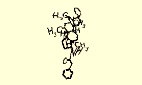 CC1CC2N(C)C(=O)CC[C@]2(C)[C@@H]2CC[C@]3(C)C(NC(=O)Cc4ccccc4)CC[C@H]3[C@H]12